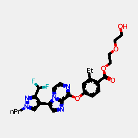 CCCn1cc(-c2cnc3c(Oc4ccc(C(=O)OCCOCCO)c(CC)c4)nccn23)c(C(F)F)n1